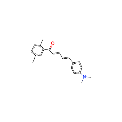 Cc1ccc(C)c(C(=O)/C=C/C=C/c2ccc(N(C)C)cc2)c1